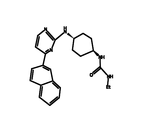 CCNC(=O)N[C@H]1CC[C@H](Nc2nccc(-c3ccc4ccccc4c3)n2)CC1